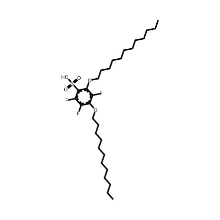 CCCCCCCCCCCCOc1c(F)c(F)c(S(=O)(=O)O)c(OCCCCCCCCCCCC)c1F